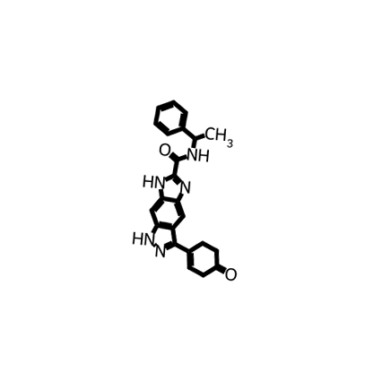 CC(NC(=O)c1nc2cc3c(C4=CCC(=O)CC4)n[nH]c3cc2[nH]1)c1ccccc1